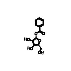 O=C(O[C@@H]1O[C@H](CO)[C@@H](O)[C@H]1O)c1ccccc1